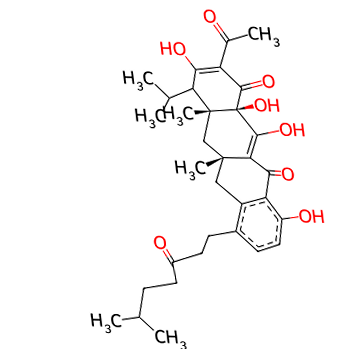 CC(=O)C1=C(O)C(C(C)C)[C@@]2(C)C[C@@]3(C)Cc4c(CCC(=O)CCC(C)C)ccc(O)c4C(=O)C3=C(O)[C@@]2(O)C1=O